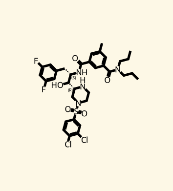 CCCN(CCC)C(=O)c1cc(C)cc(C(=O)N[C@@H](Cc2cc(F)cc(F)c2)C(O)[C@H]2CN(S(=O)(=O)c3ccc(Cl)c(Cl)c3)CCN2)c1